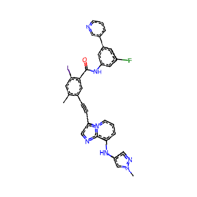 Cc1cc(I)c(C(=O)Nc2cc(F)cc(-c3cccnc3)c2)cc1C#Cc1cnc2c(Nc3cnn(C)c3)cccn12